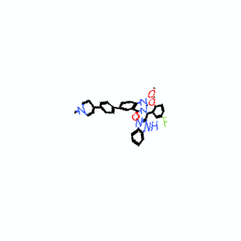 COCOc1ccc(F)cc1C(c1nc2ccccc2[nH]1)n1cnc2ccc(-c3ccc(C4CCN(C)CC4)cc3)cc2c1=O